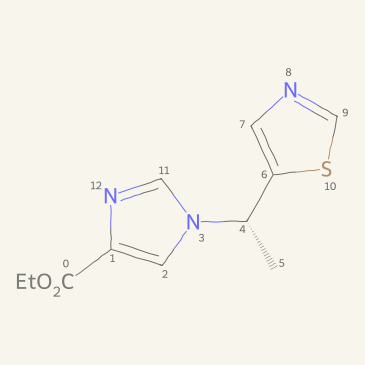 CCOC(=O)c1cn([C@@H](C)c2cncs2)cn1